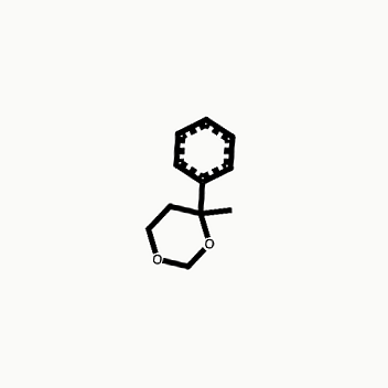 CC1(c2ccccc2)CCOCO1